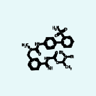 CCN(CC)C(C)OC(=O)NC(=N)c1cccc(CN(C)C(=O)Nc2ccc(-c3ccccc3S(N)(=O)=O)cc2)c1